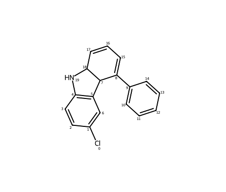 Clc1ccc2c(c1)C1C(c3ccccc3)=CC=CC1N2